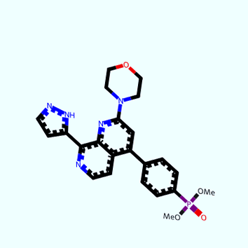 COP(=O)(OC)c1ccc(-c2cc(N3CCOCC3)nc3c(-c4ccn[nH]4)nccc23)cc1